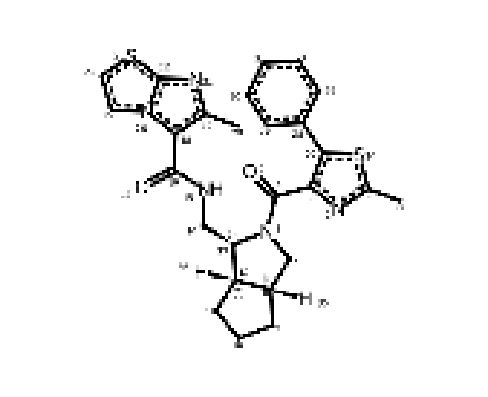 Cc1nc(C(=O)N2C[C@@H]3CCC[C@@H]3[C@H]2CNC(=O)c2c(C)nc3sccn23)c(-c2ccccc2)s1